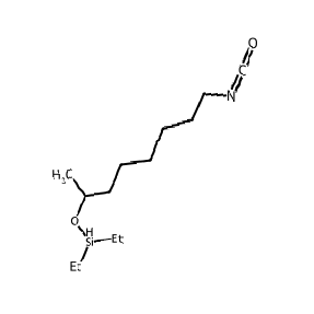 CC[SiH](CC)OC(C)CCCCCCN=C=O